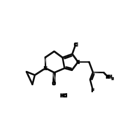 Cl.NCC(=CF)Cn1cc2c(c1Cl)CCN(C1CC1)C2=O